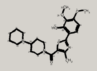 COc1ccc(-c2nc(C)c(C(=O)N3CCC(N4CCCCC4)CC3)s2)c(O)c1OC